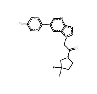 O=C(Cn1ccc2ncc(-c3ccc(F)cc3)cc21)N1CCC(F)(F)C1